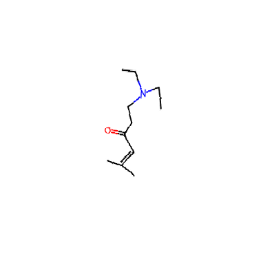 CCN(CC)CCC(=O)C=C(C)C